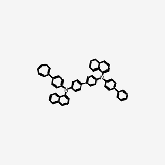 C1=CC=CC(c2ccc(N(c3ccc(-c4ccc(N(C5=CC=CC6CC=CC=C56)c5ccc(-c6ccccc6)cc5)cc4)cc3)c3cccc4ccccc34)cc2)=CC=1